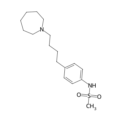 CS(=O)(=O)Nc1ccc(CCCCN2CCCCCC2)cc1